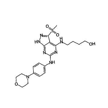 CS(=O)(=O)c1n[nH]c2nc(Nc3ccc(N4CCOCC4)cc3)nc(NCCCCO)c12